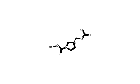 CC(C)(C)OC(=O)N1CC[C@H](COC(=O)Cl)C1